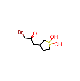 O=C(CBr)CC1CCS(O)(O)C1